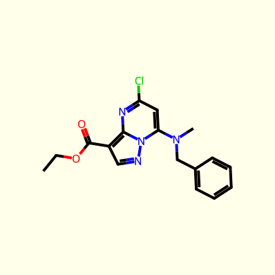 CCOC(=O)c1cnn2c(N(C)Cc3ccccc3)cc(Cl)nc12